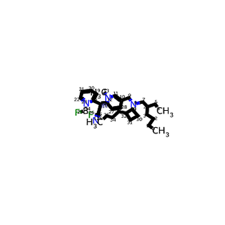 CCCCC(CC)CN(CC1=CN(C)/C(=C(/C#N)c2cccc[n+]2B(F)F)C=C1)[C@@H]1CCC1CCCC